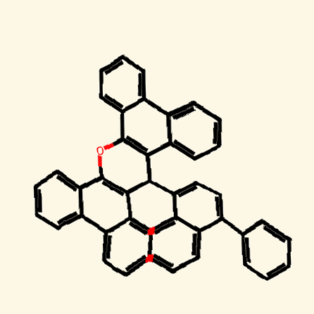 c1ccc(-c2ccc(C3c4c(c5ccccc5c5ccccc45)Oc4c3c3ccccc3c3ccccc43)c3ccccc23)cc1